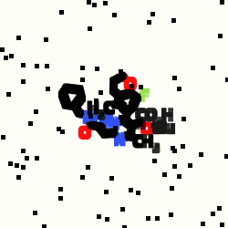 Cc1nc2cc(C(=O)NCc3ccccc3)nn2c(-c2cc(F)c3c(c2C)CCCO3)c1[C@H](OC(C)(C)C)C(=O)O